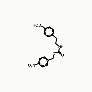 O=C(NCCc1ccc(C(=O)O)cc1)OCc1ccc([N+](=O)[O-])cc1